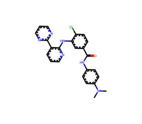 CN(C)c1ccc(NC(=O)c2ccc(Cl)c(Nc3ncccc3-c3ncccn3)c2)cc1